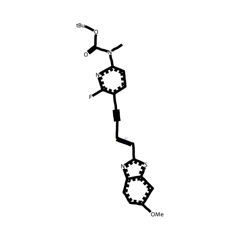 COc1ccc2nc(/C=C/C#Cc3ccc(N(C)C(=O)OC(C)(C)C)nc3F)sc2c1